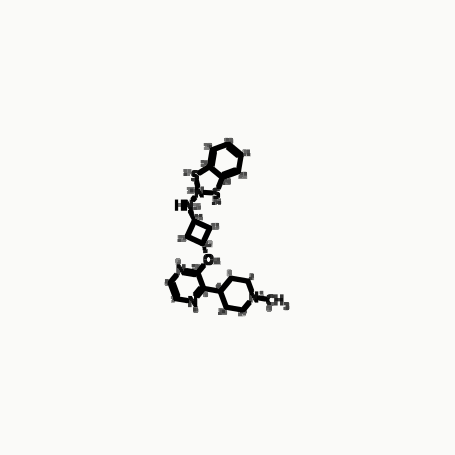 CN1CCC(c2nccnc2O[C@H]2C[C@H](NN3Sc4ccccc4S3)C2)CC1